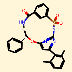 Cc1cccc(C)c1-c1cc2nc(n1)NS(=O)(=O)c1cccc(c1)C(=O)NC[C@@H](c1ccccc1)O2